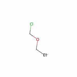 C[CH]COCCl